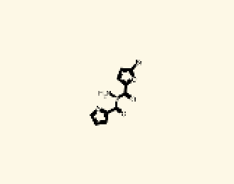 NN(C(=O)c1ccc(Br)o1)C(=O)c1cccs1